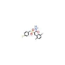 Cc1ccc(C)c(/C=C(\C(N)=O)S(=O)(=O)Cc2ccc(F)cc2)c1